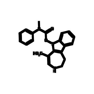 CN(C(=O)On1c2c(c3ccccc31)CCNC=C2C(=O)O)c1ccccc1